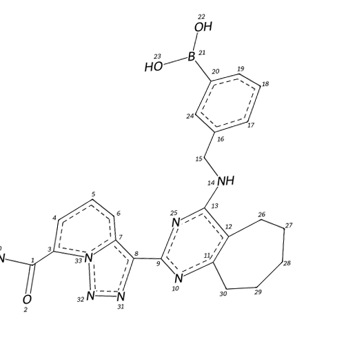 NC(=O)c1cccc2c(-c3nc4c(c(NCc5cccc(B(O)O)c5)n3)CCCCC4)nnn12